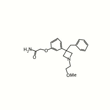 COCCN1CC(Cc2ccccc2)(c2cccc(OCC(N)=O)c2)C1